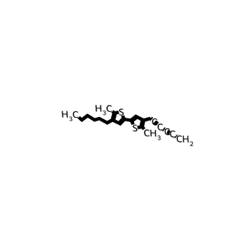 C=C=C=C=C=Cc1cc(-c2cc(CCCCCC)c(C)s2)sc1C